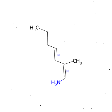 CCC/C=C/C(C)=C\N